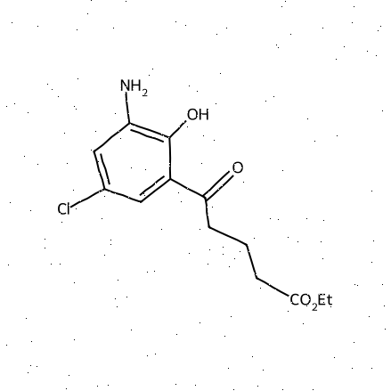 CCOC(=O)CCCC(=O)c1cc(Cl)cc(N)c1O